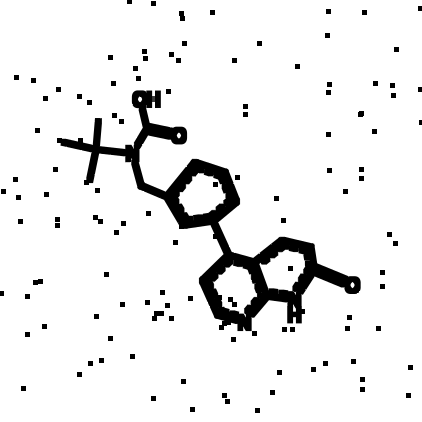 CC(C)(C)N(Cc1cccc(-c2ccnc3[nH]c(=O)ccc23)c1)C(=O)O